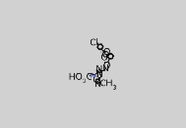 Cc1ncoc1Cn1c(/C=C/C(=O)O)cnc1CN1CCC(c2cccc3c2OC[C@@H](c2ccc(Cl)cc2)O3)CC1